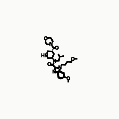 COCCCCn1c(C(=O)N(CC(C)C)[C@@H]2CNC[C@H](C(=O)N3CCOCC3)C2)nc2ccc(OC)cc21